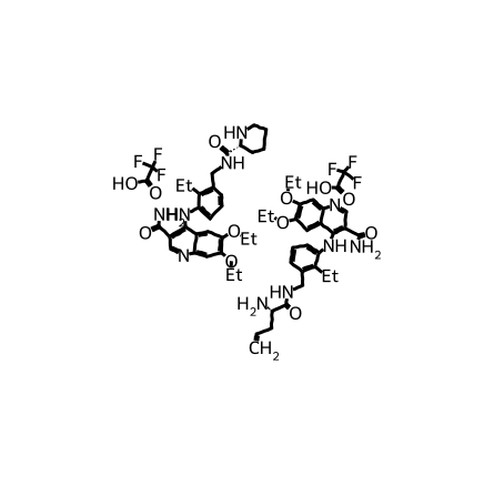 C=CC[C@H](N)C(=O)NCc1cccc(Nc2c(C(N)=O)cnc3cc(OCC)c(OCC)cc23)c1CC.CCOc1cc2ncc(C(N)=O)c(Nc3cccc(CNC(=O)[C@H]4CCCCN4)c3CC)c2cc1OCC.O=C(O)C(F)(F)F.O=C(O)C(F)(F)F